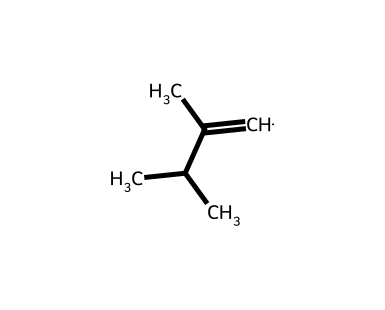 [CH]=C(C)C(C)C